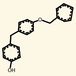 Oc1ccc(Cc2ccc(OCc3ccccc3)cc2)cc1